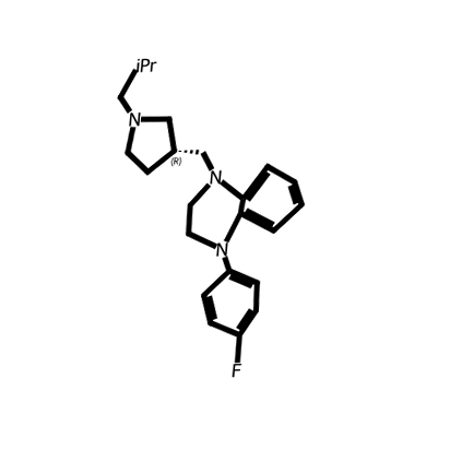 CC(C)CN1CC[C@@H](CN2CCN(c3ccc(F)cc3)c3ccccc32)C1